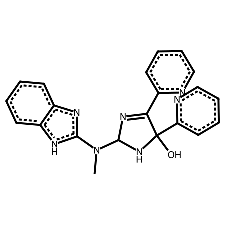 CN(c1nc2ccccc2[nH]1)C1N=C(c2ccccn2)C(O)(c2ccccn2)N1